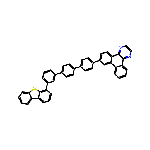 c1cc(-c2ccc(-c3ccc(-c4ccc5c(c4)c4ccccc4c4nccnc54)cc3)cc2)cc(-c2cccc3c2sc2ccccc23)c1